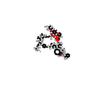 CCN(C(=O)OCc1ccc(NC(=O)[C@H](CCCNC(N)=O)NC(=O)[C@@H](NC(=O)[C@H](CCCCNC(=O)OCC2c3ccccc3-c3ccccc32)NC(C)=O)C(C)C)cc1)[C@H]1CO[C@@H](O[C@H]2[C@H](O[C@H]3C#CC=CC#C[C@]4(O)CC(=O)C(NC(=O)OC)=C3/C4=C\CSSc3ccccc3C(=O)O)O[C@H](C)[C@@H](NO[C@H]3C[C@H](O)[C@H](SC(=O)c4c(C)c(I)c(O[C@@H]5O[C@@H](C)[C@H](O)[C@@H](OC)[C@H]5O)c(OC)c4OC)[C@@H](C)O3)[C@@H]2O)C[C@@H]1OC